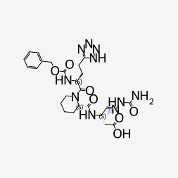 NC(=O)N/N=C/[C@H](CC(=O)O)NC(=O)[C@@H]1CCCCN1C(=O)[C@H](CCc1nnn[nH]1)NC(=O)OCc1ccccc1